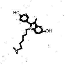 Cc1c(-c2ccc(O)cc2)n(CCCCCCN(C)C)c2ccc(O)cc12